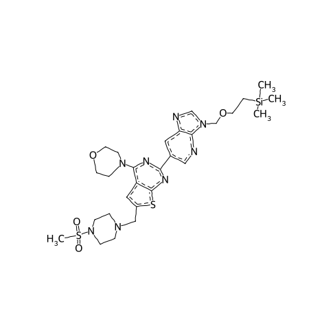 C[Si](C)(C)CCOCn1cnc2cc(-c3nc(N4CCOCC4)c4cc(CN5CCN(S(C)(=O)=O)CC5)sc4n3)cnc21